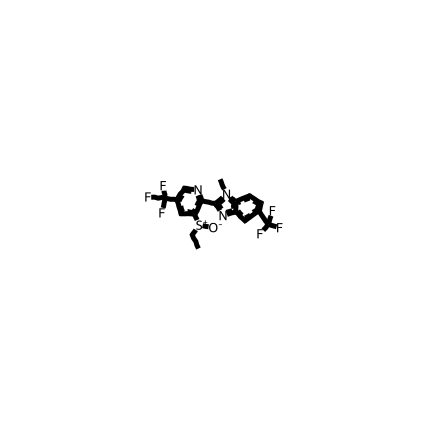 CC[S+]([O-])c1cc(C(F)(F)F)cnc1-c1nc2cc(C(F)(F)F)ccc2n1C